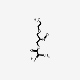 C=C(C)C(=O)OCC(COCCC)N=O